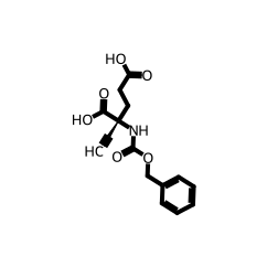 C#C[C@@](CCC(=O)O)(NC(=O)OCc1ccccc1)C(=O)O